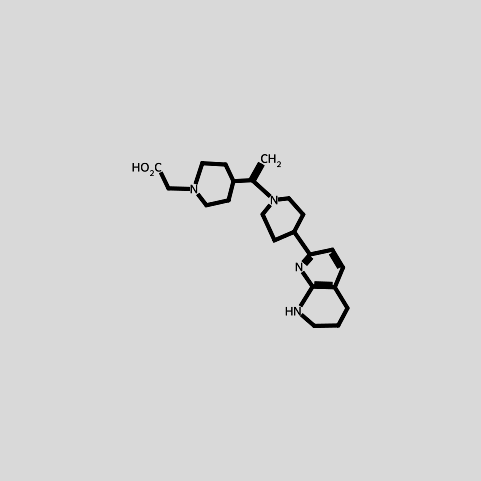 C=C(C1CCN(CC(=O)O)CC1)N1CCC(c2ccc3c(n2)NCCC3)CC1